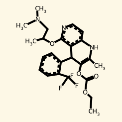 CCOC(=O)OC1=C(C)Nc2ccnc(OC(C)CN(C)C)c2C1c1ccccc1C(F)(F)F